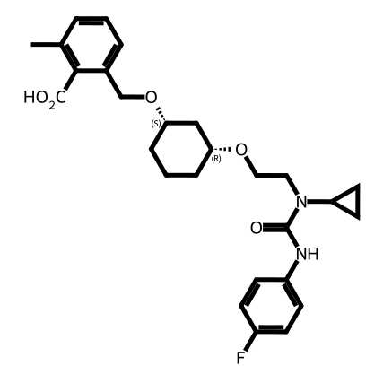 Cc1cccc(CO[C@H]2CCC[C@@H](OCCN(C(=O)Nc3ccc(F)cc3)C3CC3)C2)c1C(=O)O